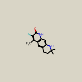 CC1(C)CCc2cc3c(C(F)(F)F)c(F)c(=O)[nH]c3cc2N1